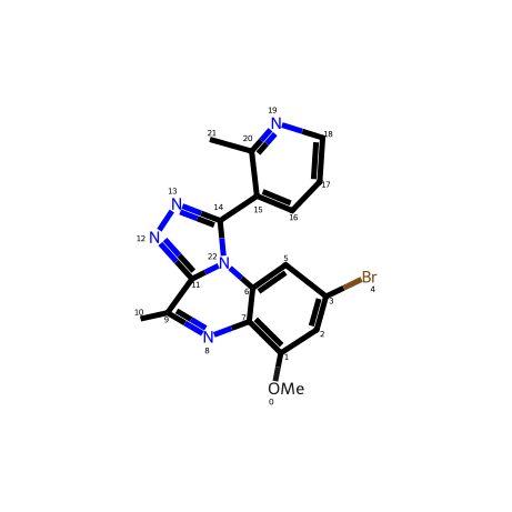 COc1cc(Br)cc2c1nc(C)c1nnc(-c3cccnc3C)n12